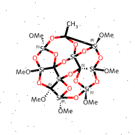 CO[C@]12O[Si]3(OC)O[Si@]4(OC)OC35O[Si]36OC(C)(O4)[Si@@](OC)(O3)O[Si]3(OC)O[Si@@]4(OC)O[C@@]63O[Si]51O[Si@@]2(OC)O4